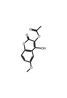 COc1ccc2oc(=O)c(OC(C)=O)c(O)c2c1